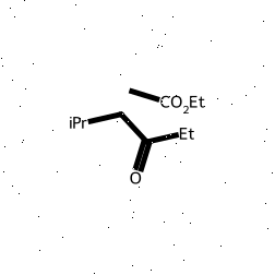 CCC(=O)CC(C)C.CCOC(C)=O